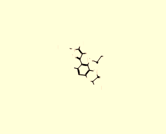 CC1Oc2cc(F)c(-c3nn(C)c(C(F)(F)F)c3Cl)c(NC(=O)CCl)c2NC1=O